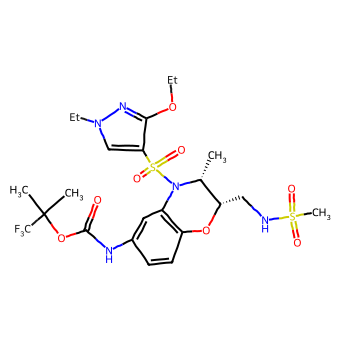 CCOc1nn(CC)cc1S(=O)(=O)N1c2cc(NC(=O)OC(C)(C)C(F)(F)F)ccc2O[C@@H](CNS(C)(=O)=O)[C@H]1C